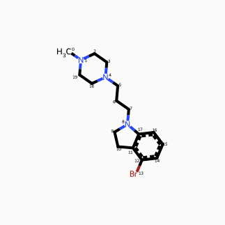 CN1CCN(CCCN2CCc3c(Br)cccc32)CC1